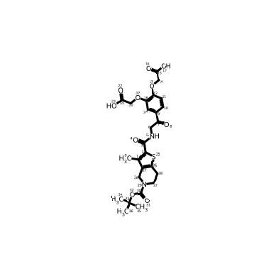 Cc1c(C(=O)NCC(=O)c2ccc(OCC(=O)O)c(OCC(=O)O)c2)sc2c1CN(C(=O)OC(C)(C)C)CC2